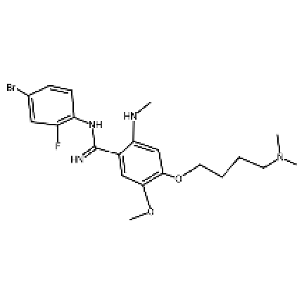 CNc1cc(OCCCCN(C)C)c(OC)cc1C(=N)Nc1ccc(Br)cc1F